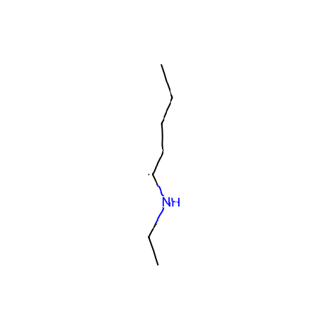 CCCC[CH]NCC